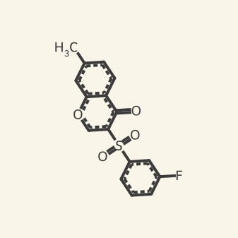 Cc1ccc2c(=O)c(S(=O)(=O)c3cccc(F)c3)coc2c1